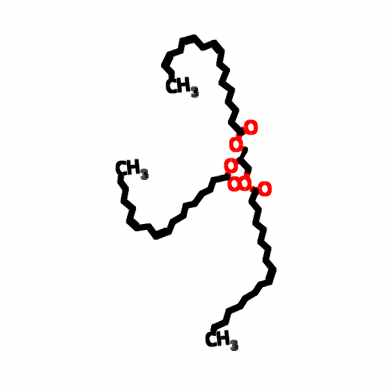 CC/C=C\C/C=C\C/C=C\CCCCCCCC(=O)OC[C@@H](COC(=O)CCCCCCC/C=C\CCCCCCCC)OC(=O)CCCCCCC/C=C\C/C=C\CCCCC